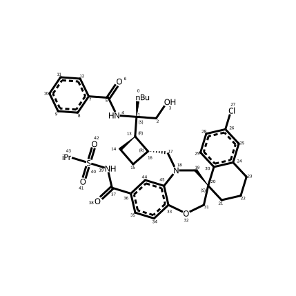 CCCC[C@](CO)(NC(=O)c1ccccc1)[C@@H]1CC[C@H]1CN1C[C@@]2(CCCc3cc(Cl)ccc32)COc2ccc(C(=O)NS(=O)(=O)C(C)C)cc21